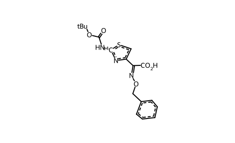 CC(C)(C)OC(=O)N[14c]1nc(/C(=N/OCc2ccccc2)C(=O)O)cs1